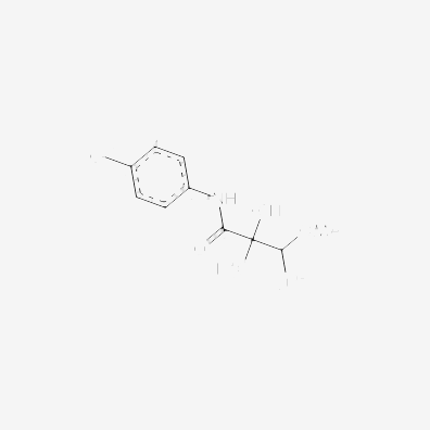 COC(C(C)C)C(C)(C)C(=O)Nc1ccc(Cl)cc1